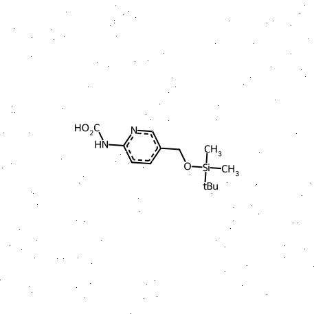 CC(C)(C)[Si](C)(C)OCc1ccc(NC(=O)O)nc1